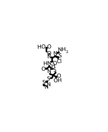 Nc1nc(C(=NOCC(=O)O)C(=O)NC2C(=O)N3CC(CSc4nncs4)(C(=O)O)CS[C@H]23)c(Cl)s1